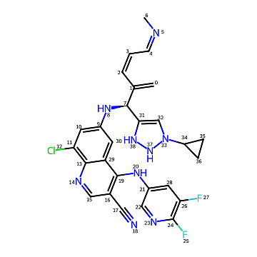 C=C(/C=C\C=N/C)[C@H](Nc1cc(Cl)c2ncc(C#N)c(Nc3cnc(F)c(F)c3)c2c1)C1=CN(C2CC2)NN1